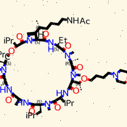 CC[C@@H]1NC(=O)[C@@H]2C([C@H](C)CCCCNC(C)=O)=CN2C(=O)C(C(C)C)OC[C@H](CC(C)C)N(C)C(=O)[C@@H](C)NC(=O)C(C)NC(=O)[C@H](CC(C)C)N(C)C(=O)C(C(C)C)NC(=O)C([C@@H](C)OCCCCN2CCOCC2)N(C)C(=O)[C@@H](C)N(C)C1=O